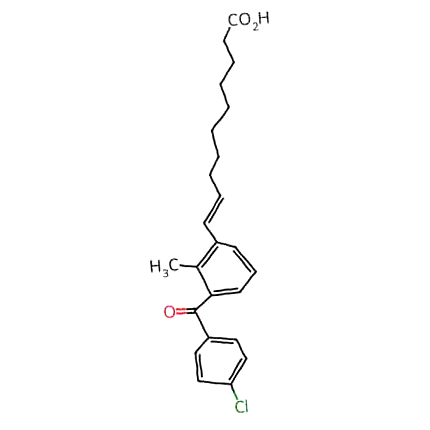 Cc1c(C=CCCCCCCCC(=O)O)cccc1C(=O)c1ccc(Cl)cc1